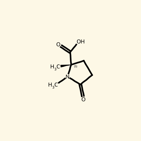 CN1C(=O)CC[C@@]1(C)C(=O)O